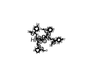 CCOc1ccccc1OCC(NCCCC(OCC)c1ccc(C)cc1)OC(=O)C(=O)OC(COc1ccccc1OCC)NCCCC(OCC)c1ccc(C)cc1